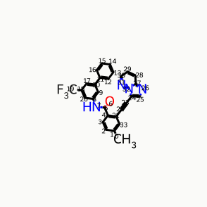 Cc1ccc(C(=O)Nc2cc(-c3ccccc3)cc(C(F)(F)F)c2)c(C#Cc2cnc3cccnn23)c1